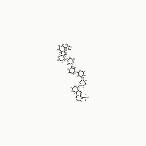 CC(C)(C)c1cccc2c1sc1c(-c3cccc(-c4ccnc(-c5cc(-c6cccc(-c7cccc8c7sc7c(C(C)(C)C)cccc78)c6)ccn5)c4)c3)cccc12